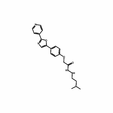 CN(C)CCNNC(=O)COc1ccc(-c2cnc(-c3ccncc3)o2)cc1